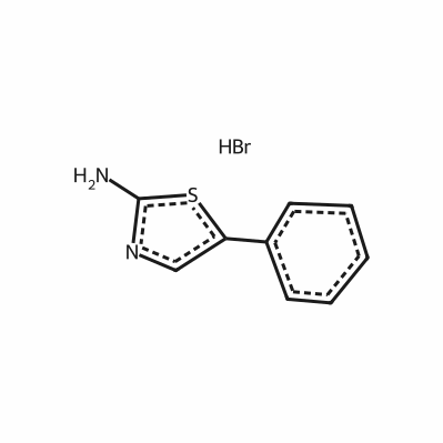 Br.Nc1ncc(-c2ccccc2)s1